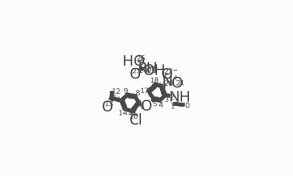 CCNc1cc(Oc2ccc(C(C)=O)cc2Cl)ccc1[N+](=O)[O-].O=[PH](O)O